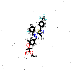 CCOC(=O)C(C)(C)Oc1ccc(CN(Cc2ccccc2F)c2sc(-c3ccc(C(F)(F)F)cc3)nc2C)cc1C